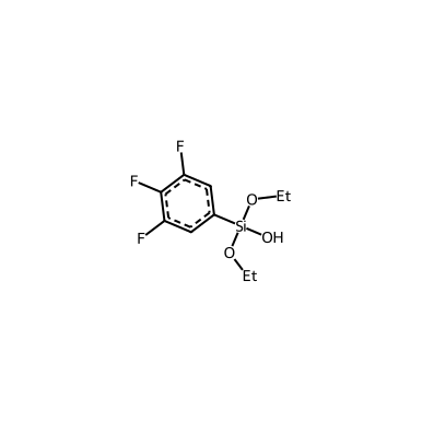 CCO[Si](O)(OCC)c1cc(F)c(F)c(F)c1